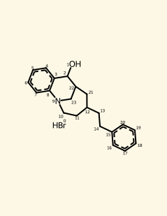 Br.OC1c2ccccc2N2CCC(CCc3ccccc3)CC1C2